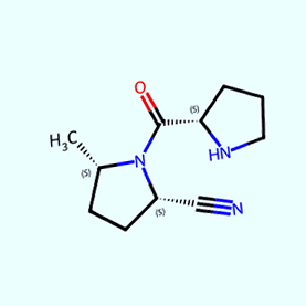 C[C@H]1CC[C@@H](C#N)N1C(=O)[C@@H]1CCCN1